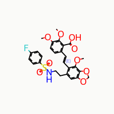 COc1ccc(/C=C/c2c(CCNS(=O)(=O)c3ccc(F)cc3)cc3c(c2OC)OCO3)c(C(=O)O)c1OC